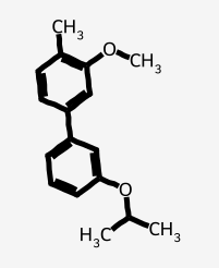 COc1cc(-c2cccc(OC(C)C)c2)ccc1C